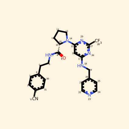 N#Cc1ccc(CCNC(=O)[C@@H]2CCCN2c2cc(NCc3ccncc3)nc(C(F)(F)F)n2)cc1